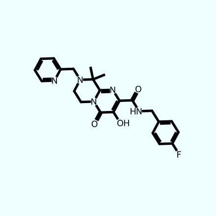 CC1(C)c2nc(C(=O)NCc3ccc(F)cc3)c(O)c(=O)n2CCN1Cc1ccccn1